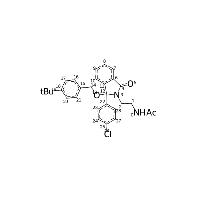 CC(=O)NCCN1C(=O)c2ccccc2C1(OCc1ccc(C(C)(C)C)cc1)c1ccc(Cl)cc1